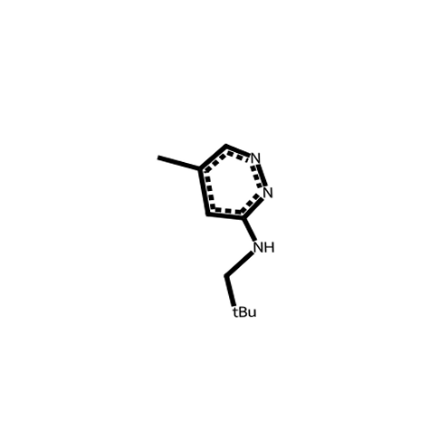 Cc1cnnc(NCC(C)(C)C)c1